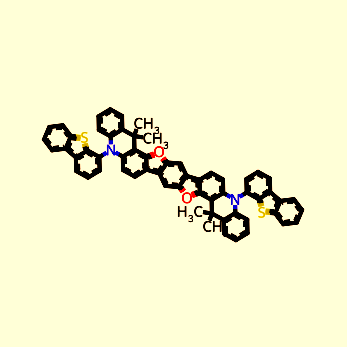 CC1(C)c2ccccc2N(c2cccc3c2sc2ccccc23)c2ccc3c(oc4cc5c(cc43)oc3c4c(ccc35)N(c3cccc5c3sc3ccccc35)c3ccccc3C4(C)C)c21